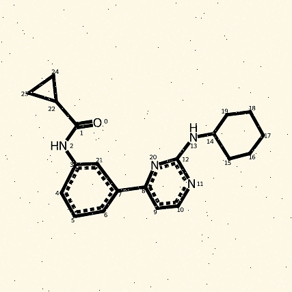 O=C(Nc1cccc(-c2ccnc(NC3CCCCC3)n2)c1)C1CC1